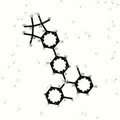 Cc1ccccc1N(c1ccc(-c2ccc3c(c2)C(C)(C)C(C)(C)C3(C)C)cc1)c1ccccc1C